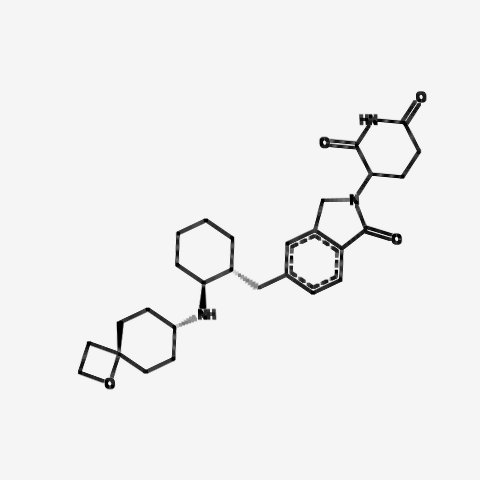 O=C1CCC(N2Cc3cc(C[C@H]4CCCC[C@@H]4N[C@H]4CC[C@@]5(CCO5)CC4)ccc3C2=O)C(=O)N1